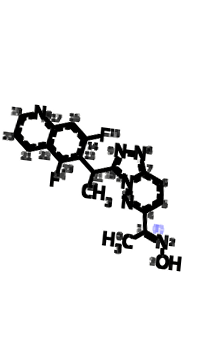 C/C(=N\O)c1ccc2nnc(C(C)c3c(F)cc4ncccc4c3F)n2n1